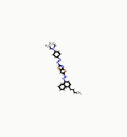 CCCCc1ccc(N=Nc2cc3sc(N=Nc4ccc(N(CC)CC)cc4)nc3s2)c2ccccc12